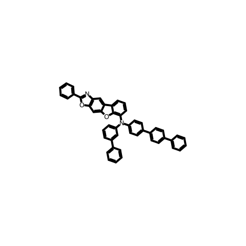 c1ccc(-c2ccc(-c3ccc(N(c4cccc(-c5ccccc5)c4)c4cccc5c4oc4cc6oc(-c7ccccc7)nc6cc45)cc3)cc2)cc1